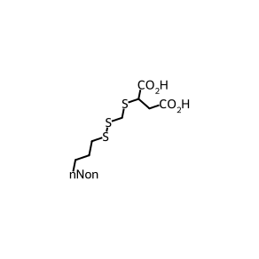 CCCCCCCCCCCCSSCSC(CC(=O)O)C(=O)O